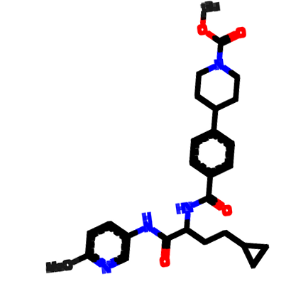 COc1ccc(NC(=O)C(CCC2CC2)NC(=O)c2ccc(C3CCN(C(=O)OC(C)(C)C)CC3)cc2)cn1